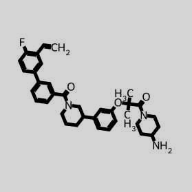 C=Cc1cc(-c2cccc(C(=O)N3CCCC(c4cccc(OC(C)(C)C(=O)N5CCC(N)CC5)c4)C3)c2)ccc1F